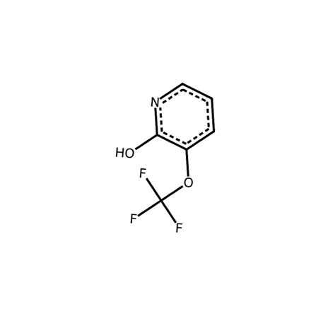 Oc1ncccc1OC(F)(F)F